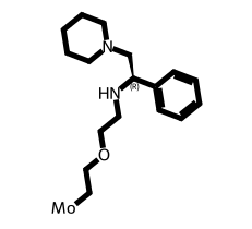 [Mo][CH2]COCCN[C@@H](CN1CCCCC1)c1ccccc1